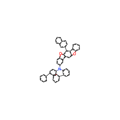 c1ccc(-c2ccc(N(c3ccc4oc5c(-c6ccc7ccccc7c6)c6c(cc5c4c3)oc3ccccc36)c3ccccc3-c3ccccc3)cc2)cc1